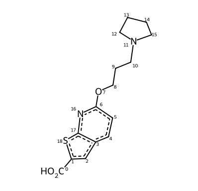 O=C(O)c1cc2ccc(OCCCN3CCCC3)nc2s1